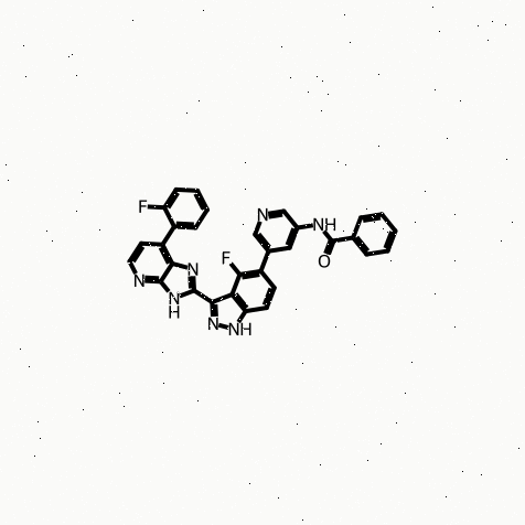 O=C(Nc1cncc(-c2ccc3[nH]nc(-c4nc5c(-c6ccccc6F)ccnc5[nH]4)c3c2F)c1)c1ccccc1